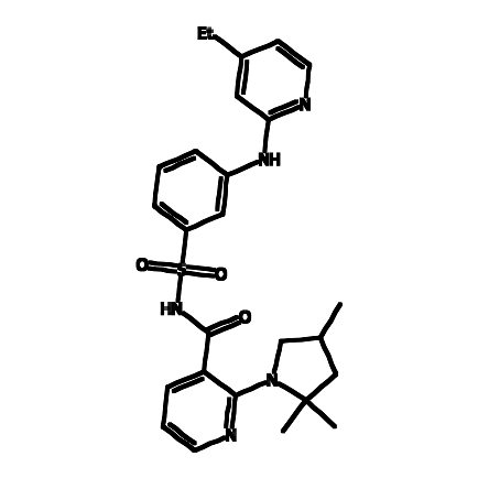 CCc1ccnc(Nc2cccc(S(=O)(=O)NC(=O)c3cccnc3N3CC(C)CC3(C)C)c2)c1